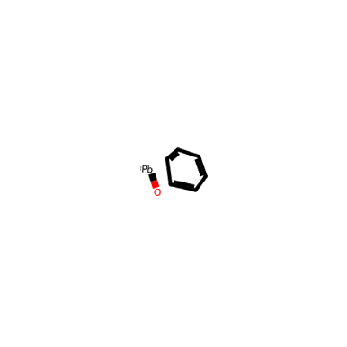 [O]=[Pb].c1ccccc1